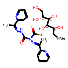 CC(=NNC(=O)N(N=C(C)c1ccccn1)C(=O)S)c1ccccn1.CNC[C@H](O)[C@@H](O)[C@H](O)[C@H](O)CO